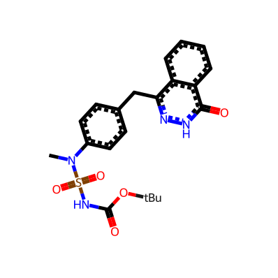 CN(c1ccc(Cc2n[nH]c(=O)c3ccccc23)cc1)S(=O)(=O)NC(=O)OC(C)(C)C